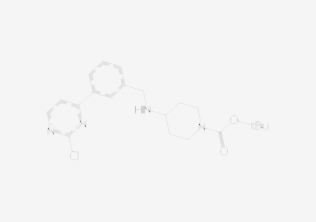 CC(C)(C)OC(=O)N1CCC(NCc2cccc(-c3ccnc(Cl)n3)c2)CC1